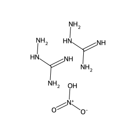 N=C(N)NN.N=C(N)NN.O=[N+]([O-])O